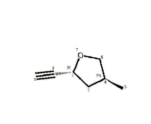 C#C[C@H]1C[C@H](C)CO1